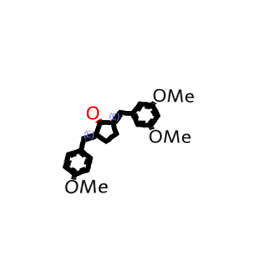 COc1ccc(/C=C2\CC/C(=C\c3cc(OC)cc(OC)c3)C2=O)cc1